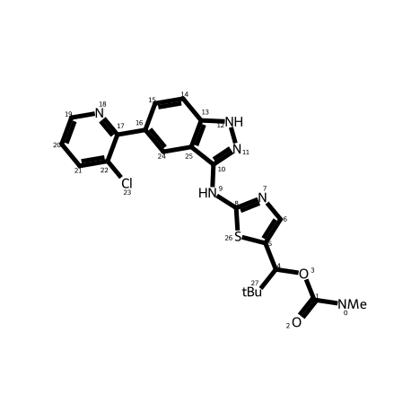 CNC(=O)OC(c1cnc(Nc2n[nH]c3ccc(-c4ncccc4Cl)cc23)s1)C(C)(C)C